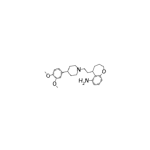 COc1ccc(C2CCN(CCC3CCCOc4cccc(N)c43)CC2)cc1OC